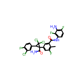 Cc1c(F)cc(C2(C(N)=O)C(c3ccc(F)c(Cl)c3)C2(Cl)Cl)cc1C(=O)Nc1ccc(F)c(N)c1F